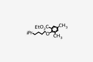 CCOC(=O)c1cc(C)cc(C)c1OCCCCC(C)C